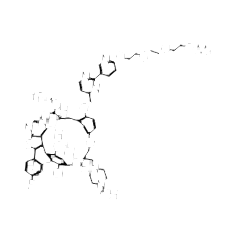 COCCOCCOCCOc1ccc(-c2nccc(COc3ccc4cc3C[C@H](C(=O)OC(C)(C)C)Oc3ncnc5sc(-c6ccc(F)cc6)c(c35)-c3c(C)c(Cl)c(c(Cl)c3C)O[C@H](CN3CCN(C)CC3)CO4)n2)cn1